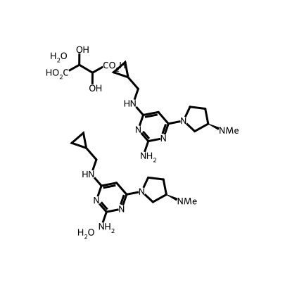 CN[C@@H]1CCN(c2cc(NCC3CC3)nc(N)n2)C1.CN[C@@H]1CCN(c2cc(NCC3CC3)nc(N)n2)C1.O.O.O=C(O)C(O)C(O)C(=O)O